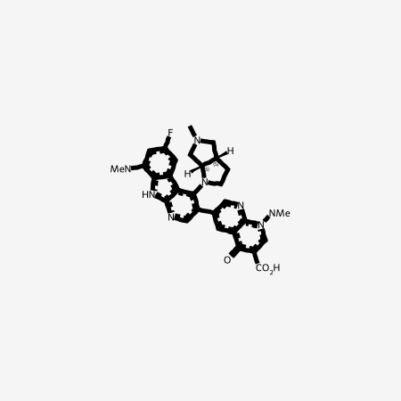 CNc1cc(F)cc2c1[nH]c1ncc(-c3cnc4c(c3)c(=O)c(C(=O)O)cn4NC)c(N3CC[C@H]4CN(C)C[C@H]43)c12